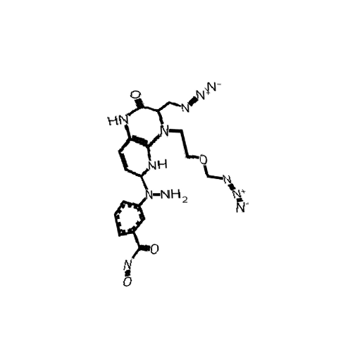 [N-]=[N+]=NCOCCN1C2=C(C=CC(N(N)c3cccc(C(=O)N=O)c3)N2)NC(=O)C1CN=[N+]=[N-]